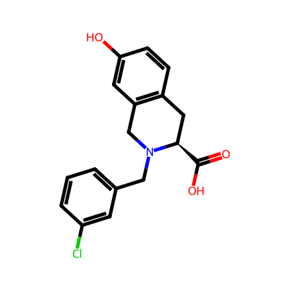 O=C(O)[C@@H]1Cc2ccc(O)cc2CN1Cc1cccc(Cl)c1